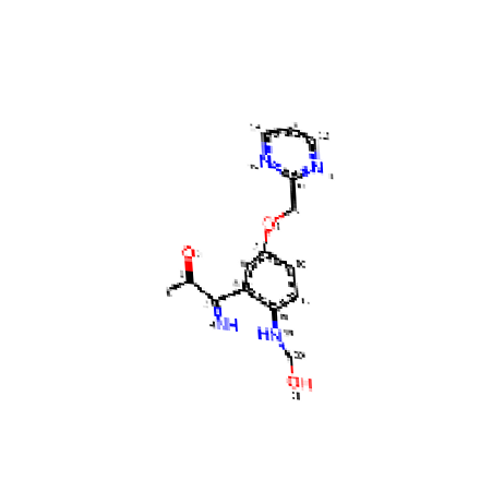 CC(=O)C(=N)c1cc(OCc2ncccn2)ccc1NCO